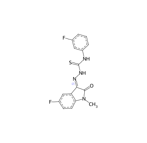 CN1C(=O)/C(=N\NC(=S)Nc2cccc(F)c2)c2cc(F)ccc21